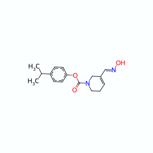 CC(C)c1ccc(OC(=O)N2CCC=C(C=NO)C2)cc1